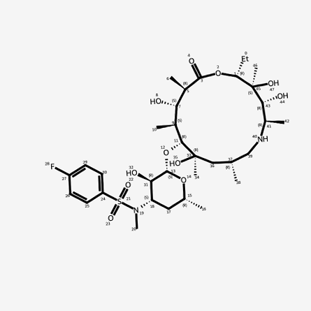 CC[C@H]1OC(=O)[C@H](C)[C@@H](O)[C@H](C)[C@@H](O[C@@H]2O[C@H](C)C[C@H](N(C)S(=O)(=O)c3ccc(F)cc3)[C@H]2O)[C@](C)(O)C[C@@H](C)CN[C@H](C)[C@@H](O)[C@]1(C)O